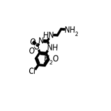 NCCNC1=NS(=O)(=O)c2cc(Cl)ccc2N1.O